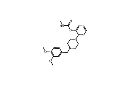 CNC(=O)Oc1ccccc1N1CCN(Cc2ccc(OC)c(OC)c2)CC1